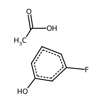 CC(=O)O.Oc1cccc(F)c1